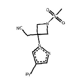 CC(C)c1cnn(C2(CC#N)CN(S(C)(=O)=O)C2)c1